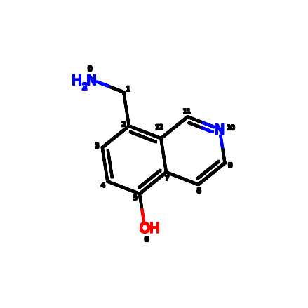 NCc1ccc(O)c2ccncc12